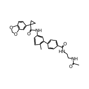 CC(=O)NCCNC(=O)c1ccc(-c2cc(NC(=O)C3(c4ccc5c(c4)OCO5)CC3)ccc2C)cc1